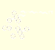 SCCCCCCCCCCC1CCC(c2c3ccccc3c(-c3cccc(-c4cccc5ccccc45)c3)c3cc(-c4ccc5c(-c6ccccc6)c6ccccc6c(-c6ccccc6)c5c4)ccc23)CC1